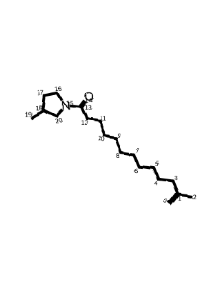 C=C(C)CCCCCCCCCCC(=O)N1CCC(C)C1